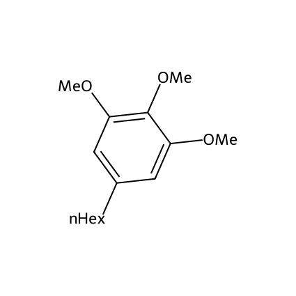 CCCCCCc1cc(OC)c(OC)c(OC)c1